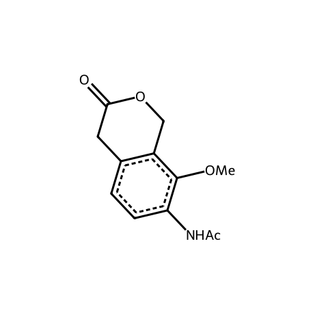 COc1c(NC(C)=O)ccc2c1COC(=O)C2